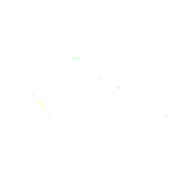 CC(C)c1nc2c(-c3cccc(S(=O)(=O)N4CCCC4)c3)cccc2n1C/C(F)=C/CN.Cl